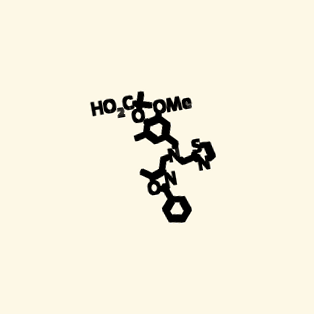 COc1cc(CN(Cc2nccs2)Cc2nc(-c3ccccc3)oc2C)cc(C)c1OC(C)(C)C(=O)O